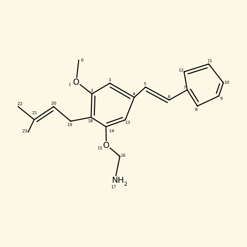 COc1cc(/C=C/c2ccccc2)cc(OCN)c1CC=C(C)C